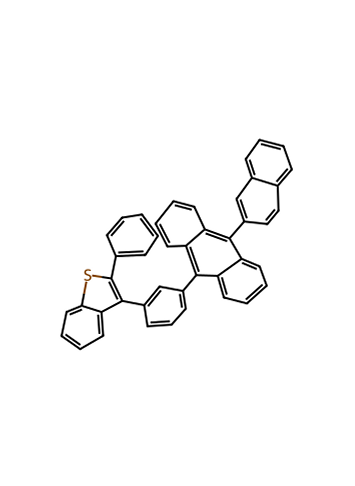 c1ccc(-c2sc3ccccc3c2-c2cccc(-c3c4ccccc4c(-c4ccc5ccccc5c4)c4ccccc34)c2)cc1